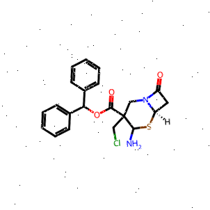 NC1S[C@@H]2CC(=O)N2CC1(CCl)C(=O)OC(c1ccccc1)c1ccccc1